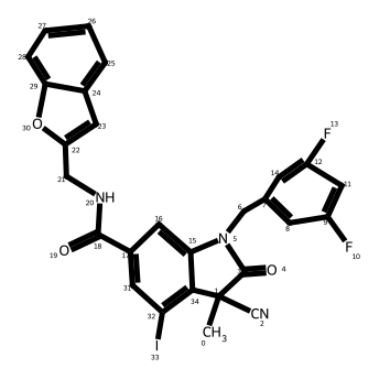 CC1(C#N)C(=O)N(Cc2cc(F)cc(F)c2)c2cc(C(=O)NCc3cc4ccccc4o3)cc(I)c21